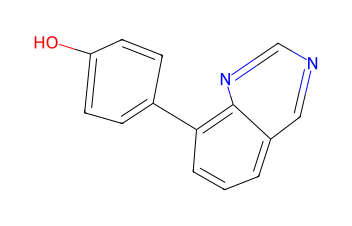 Oc1ccc(-c2cccc3cncnc23)cc1